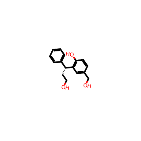 OCC[C@H](c1ccccc1)c1cc(CO)ccc1O